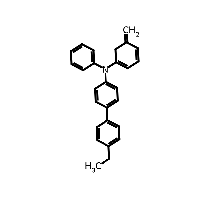 C=C1C=CC=C(N(c2ccccc2)c2ccc(-c3ccc(CC)cc3)cc2)C1